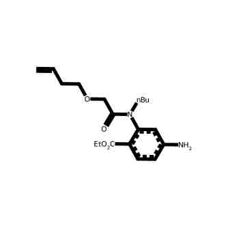 C=CCCOCC(=O)N(CCCC)c1cc(N)ccc1C(=O)OCC